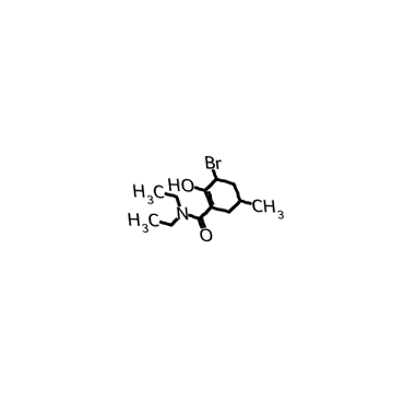 CCN(CC)C(=O)C1=C(O)C(Br)CC(C)C1